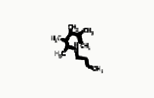 C=C(C)C(C)C(C)C(C)NCCCC